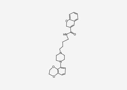 O=C(NCCCCN1CCN(c2cccc3c2OCCO3)CC1)C1=Cc2ccccc2OC1